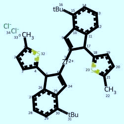 Cc1ccc(C2[C]([Zr+2][C]3=Cc4c(cccc4C(C)(C)C)C3c3ccc(C)s3)=Cc3c2cccc3C(C)(C)C)s1.[Cl-].[Cl-]